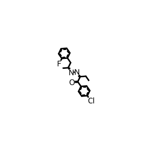 CC/C(=N/N=C(/C)Cc1ccccc1F)C(=O)c1ccc(Cl)cc1